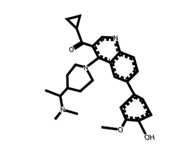 COc1cc(-c2ccc3ncc(C(=O)C4CC4)c(N4CCC(C(C)N(C)C)CC4)c3c2)ccc1O